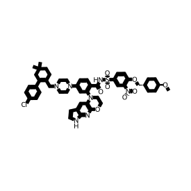 CO[C@H]1CC[C@H](COc2ccc(S(=O)(=O)NC(=O)c3ccc(N4CCN(CC5=C(c6ccc(Cl)cc6)CC(C)(C)CC5)CC4)cc3N3CCOc4nc5[nH]ccc5cc43)cc2[N+](=O)[O-])CC1